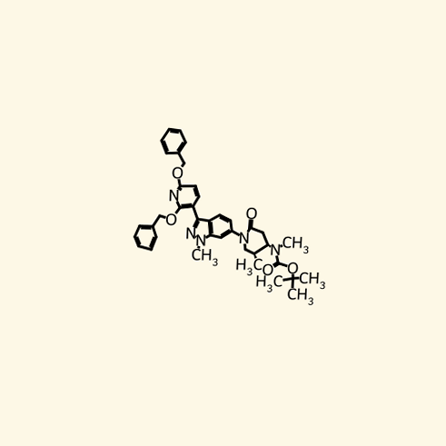 C[C@H]1CN(c2ccc3c(-c4ccc(OCc5ccccc5)nc4OCc4ccccc4)nn(C)c3c2)C(=O)C[C@H]1N(C)C(=O)OC(C)(C)C